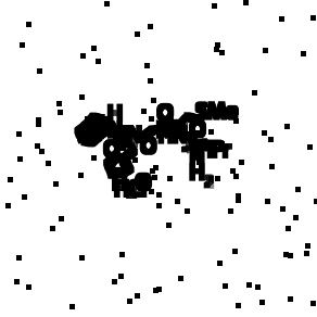 CSCC[C@@H](NC(=O)[C@](C)(N)CC(C)C)C(=O)NCC(=O)N[C@@H](Cc1ccccc1)C(=O)NC1C2CC3CC(C2)CC1C3.Cl.O